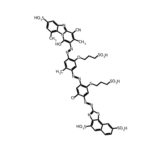 Cc1cc(N=Nc2c(C)c(C#N)c3nc4cc(S(=O)(=O)O)cc(C)c4n3c2O)c(OCCCS(=O)(=O)O)cc1N=Nc1cc(Cl)c(N=Nc2nc3c(S(=O)(=O)O)cc4ccc(S(=O)(=O)O)cc4c3s2)cc1SCCCS(=O)(=O)O